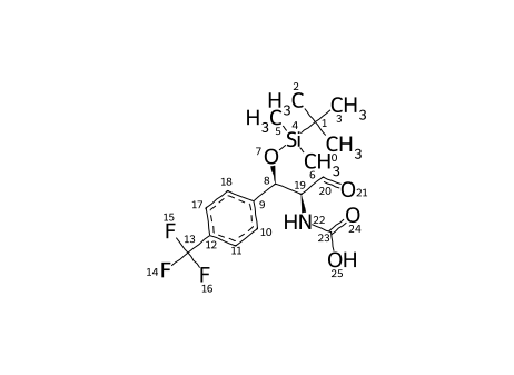 CC(C)(C)[Si](C)(C)O[C@H](c1ccc(C(F)(F)F)cc1)[C@@H](C=O)NC(=O)O